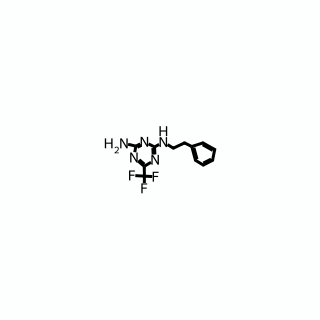 Nc1nc(NCCc2ccccc2)nc(C(F)(F)F)n1